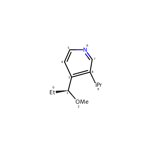 CC[C@H](OC)c1ccncc1C(C)C